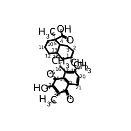 C=C1CCC2[C@](C)(C(=O)O)CCC[C@]2(C)[C@H]1Cc1c(C)ccc2c1C(=O)C(O)=C(C)C2=O